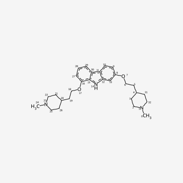 CN1CCC(CCOc2ccc3c(c2)[nH]c2c(OCCC4CCN(C)CC4)cccc23)CC1